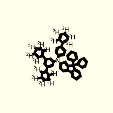 [2H]c1c([2H])c([2H])c(-c2ccc(N(c3cc(-c4c([2H])c([2H])c([2H])c([2H])c4[2H])cc(-c4c([2H])c([2H])c([2H])c([2H])c4[2H])c3)c3ccc4c(c3)C(c3ccccc3)(c3ccccc3)c3ccccc3-4)cc2)c([2H])c1[2H]